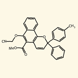 [C-]#[N+]COc1c(C(=O)OC)c2c(c3ccccc13)OC(c1ccccc1)(c1ccc(C)cc1)C=C2